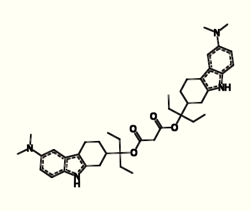 CCC(CC)(OC(=O)CC(=O)OC(CC)(CC)C1CCc2c([nH]c3ccc(N(C)C)cc23)C1)C1CCc2c([nH]c3ccc(N(C)C)cc23)C1